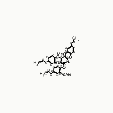 C=CCc1ccc(Oc2nc(Oc3ccc(CC=C)cc3OC)nc(Oc3ccc(CC=C)cc3OC)n2)c(OC)c1